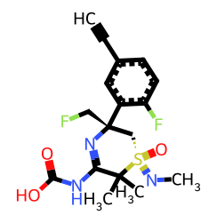 C#Cc1ccc(F)c([C@]2(CF)C[S@](=O)(=NC)C(C)(C)C(NC(=O)O)=N2)c1